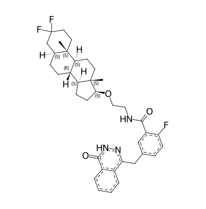 C[C@]12CCC(F)(F)C[C@@H]1CC[C@@H]1[C@@H]2CC[C@]2(C)[C@@H](OCCNC(=O)c3cc(Cc4n[nH]c(=O)c5ccccc45)ccc3F)CC[C@@H]12